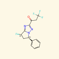 O=C(CC(F)(F)F)c1nc2n(n1)[C@@H](c1ccccc1)C[C@H]2F